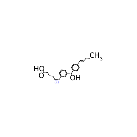 CCCC=Cc1ccc(C(O)c2cccc(/C=C\CCCC(=O)O)c2)cc1